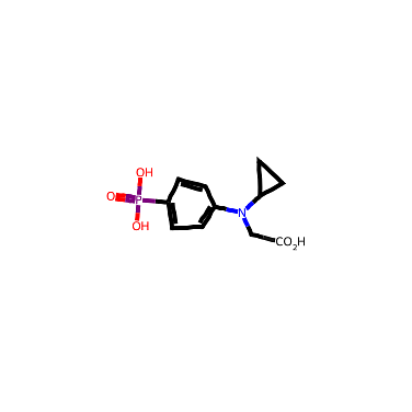 O=C(O)CN(c1ccc(P(=O)(O)O)cc1)C1CC1